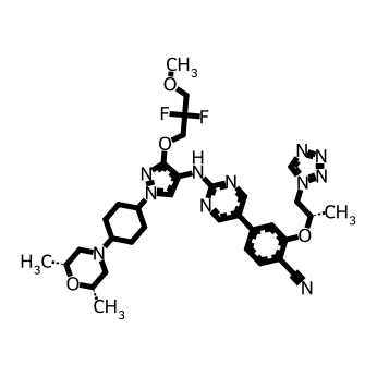 COCC(F)(F)COc1nn(C2CCC(N3C[C@@H](C)O[C@@H](C)C3)CC2)cc1Nc1ncc(-c2ccc(C#N)c(O[C@@H](C)Cn3cnnn3)c2)cn1